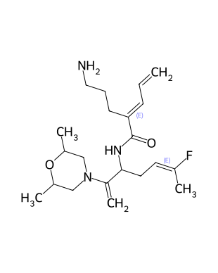 C=C/C=C(\CCCN)C(=O)NC(C/C=C(\C)F)C(=C)N1CC(C)OC(C)C1